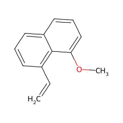 C=Cc1cccc2cccc(OC)c12